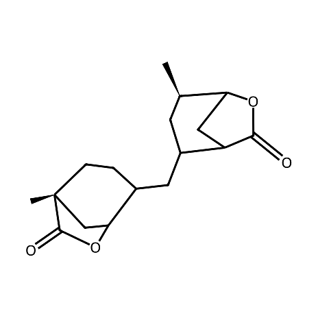 C[C@@H]1CC(CC2CC[C@]3(C)CC2OC3=O)C2CC1OC2=O